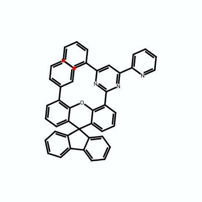 c1ccc(-c2cc(-c3ccccn3)nc(-c3cccc4c3Oc3c(-c5ccncc5)cccc3C43c4ccccc4-c4ccccc43)n2)cc1